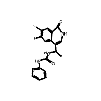 CC(NC(=O)Nc1ccccc1)c1c[nH]c(=O)c2cc(F)c(F)cc12